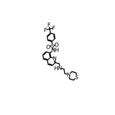 O=S(=O)(Nc1cccc2ccc(CNCCN3CCSCC3)nc12)c1ccc(C(F)(F)F)cc1